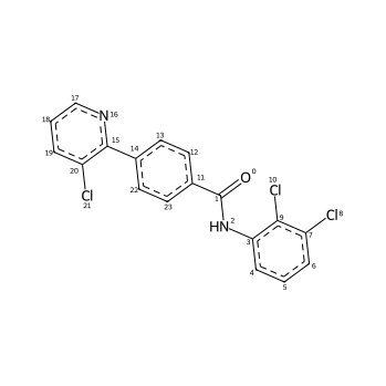 O=C(Nc1cccc(Cl)c1Cl)c1ccc(-c2ncccc2Cl)cc1